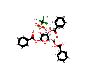 O=C(OC[C@@H]1O[C@@H](OC(=O)c2ccccc2)[C@@H](OS(=O)(=O)C(F)(F)F)[C@H]1OC(=O)c1ccccc1)c1ccccc1